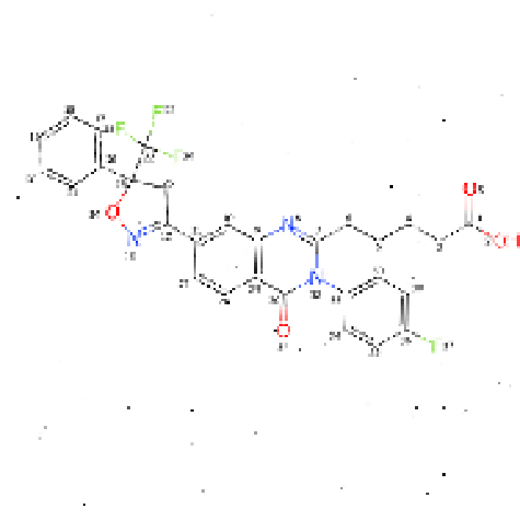 O=C(O)CCCCc1nc2cc(C3=NOC(c4ccccc4)(C(F)(F)F)C3)ccc2c(=O)n1-c1ccc(F)cc1